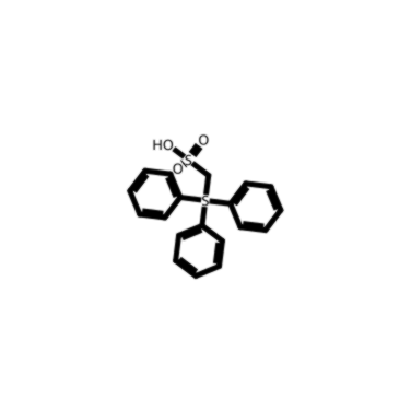 O=S(=O)(O)CS(c1ccccc1)(c1ccccc1)c1ccccc1